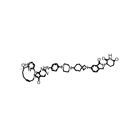 C[C@@]1(O)CC/C=C\Cn2c(=O)c3cnc(Nc4ccc(N5CCN(C6CCC7(CC6)CN(c6ccc8c(c6)C(=O)N(C6CCC(=O)NC6=O)C8)C7)CC5)cc4)nc3n2-c2cccc1n2